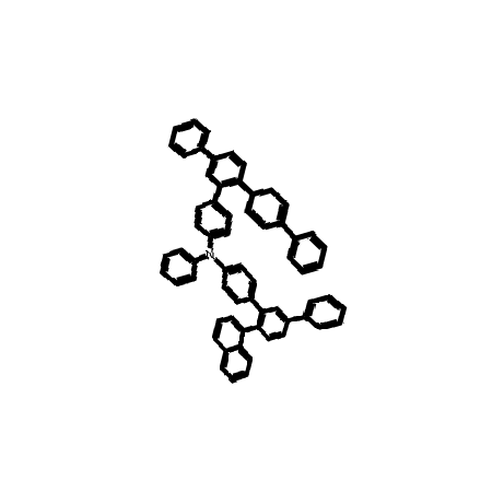 C1=CC(c2ccc(-c3ccccc3)cc2-c2ccc(N(c3ccccc3)c3ccc(-c4cc(-c5ccccc5)ccc4-c4cccc5ccccc45)cc3)cc2)CC=C1c1ccccc1